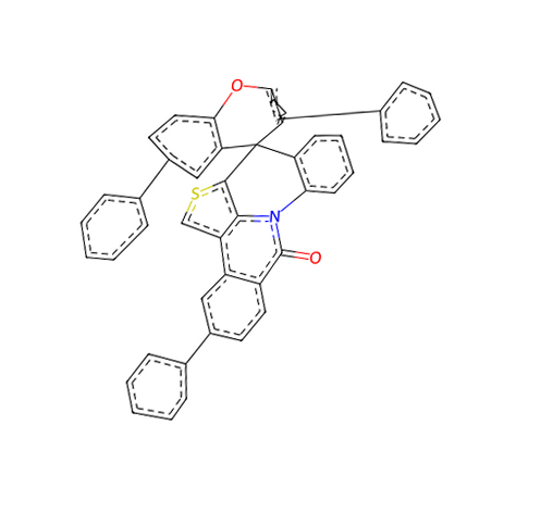 O=c1c2ccc(-c3ccccc3)cc2c2csc3c2n1-c1ccccc1C31c2cc(-c3ccccc3)ccc2Oc2ccc(-c3ccccc3)cc21